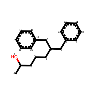 CC(O)CCCC(Cc1ccccc1)Cc1ccccc1